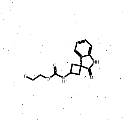 O=C(NC1CC2(C1)C(=O)Nc1ccccc12)OCCF